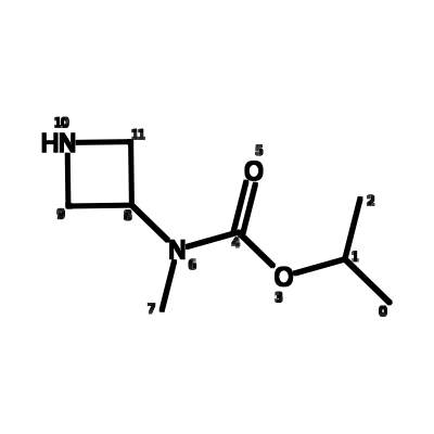 CC(C)OC(=O)N(C)C1CNC1